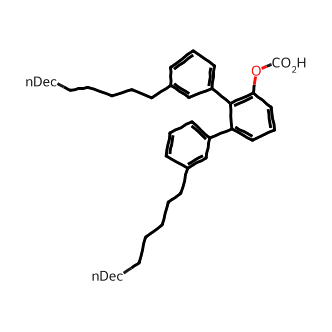 CCCCCCCCCCCCCCCc1cccc(-c2cccc(OC(=O)O)c2-c2cccc(CCCCCCCCCCCCCCC)c2)c1